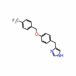 FC(F)(F)c1ccc(COc2ccc(Cc3c[nH]cn3)cc2)cc1